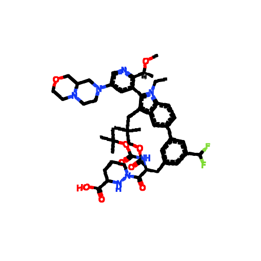 CCn1c(-c2cc(N3CCN4CCOCC4C3)cnc2[C@H](C)OC)c(CC(C)(C)COC(C)=O)c2cc(-c3cc(CC(NC(=O)OC(C)(C)C)C(=O)N4CCCC(C(=O)O)N4)cc(C(F)F)c3)ccc21